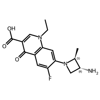 CCn1cc(C(=O)O)c(=O)c2cc(F)c(N3C[C@@H](N)[C@@H]3C)cc21